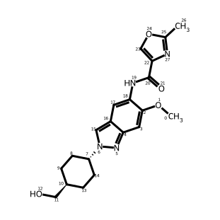 COc1cc2nn([C@H]3CC[C@H](CO)CC3)cc2cc1NC(=O)c1coc(C)n1